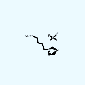 CCCCCCCCCCCCn1ccnc1.F[B-](F)(F)F